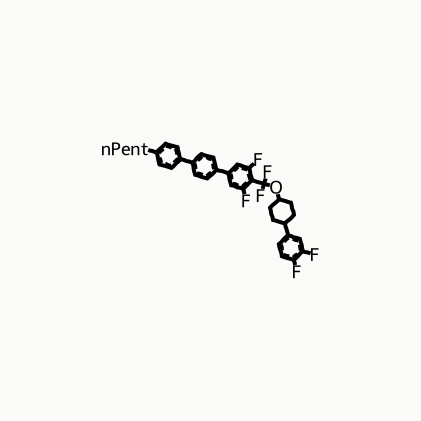 CCCCCc1ccc(-c2ccc(-c3cc(F)c(C(F)(F)OC4CCC(c5ccc(F)c(F)c5)CC4)c(F)c3)cc2)cc1